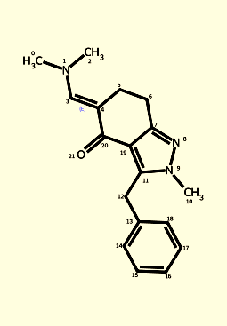 CN(C)/C=C1\CCc2nn(C)c(Cc3ccccc3)c2C1=O